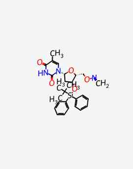 C=NOC[C@H]1O[C@@H](n2cc(C)c(=O)[nH]c2=O)CC1O[Si](c1ccccc1)(c1ccccc1)C(C)(C)C